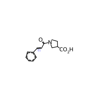 O=C(O)C1CCN(C(=O)/C=C/c2ccccc2)C1